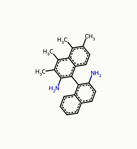 Cc1ccc2c(-c3c(N)ccc4ccccc34)c(N)c(C)c(C)c2c1C